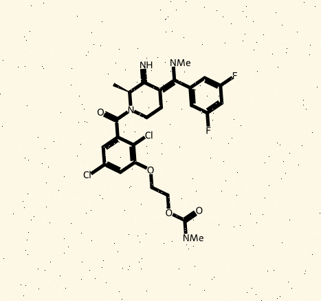 CNC(=O)OCCOc1cc(Cl)cc(C(=O)N2CC/C(=C(/NC)c3cc(F)cc(F)c3)C(=N)[C@@H]2C)c1Cl